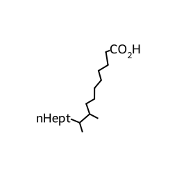 CCCCCCCC(C)C(C)CCCCCCCC(=O)O